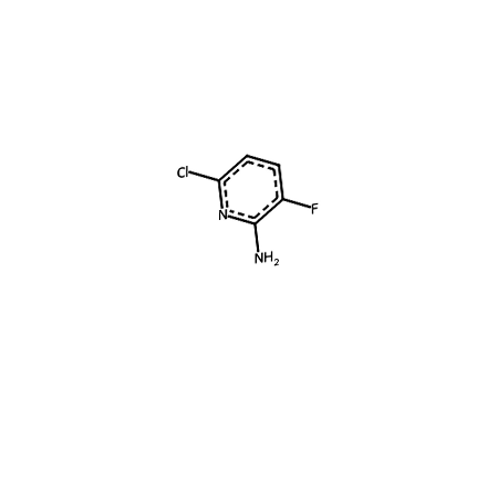 Nc1nc(Cl)ccc1F